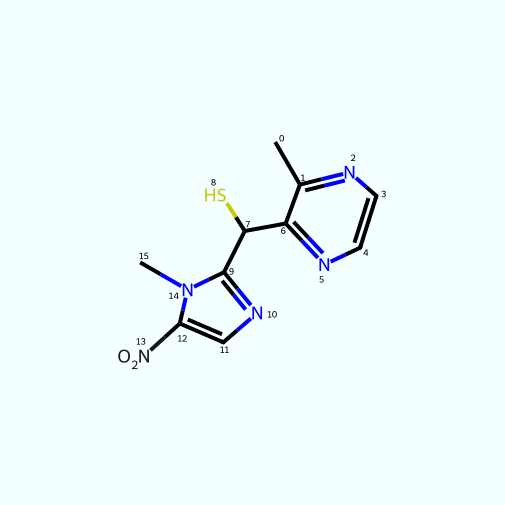 Cc1nccnc1C(S)c1ncc([N+](=O)[O-])n1C